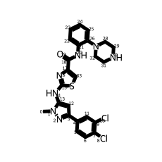 Cn1nc(-c2ccc(Cl)c(Cl)c2)cc1Nc1nc(C(=O)Nc2ccccc2N2CCNCC2)cs1